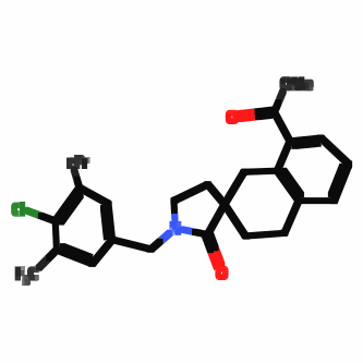 CCCc1cc(CN2CCC3(CCc4cccc(C(=O)OC)c4C3)C2=O)cc(C(F)(F)F)c1Cl